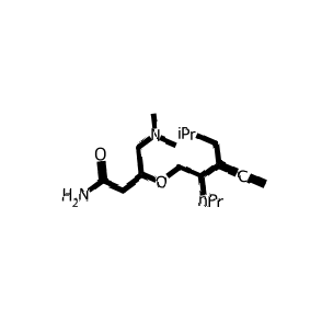 C=C=C(CC(C)C)C(CCC)COC(CC(N)=O)CN(C)C